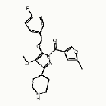 COc1c(C2CCNCC2)nn(C(=O)c2coc(C)c2)c1OCc1ccc(F)cc1